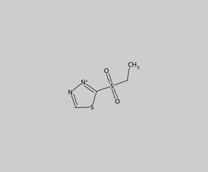 CCS(=O)(=O)C1=[N+]N=[C]S1